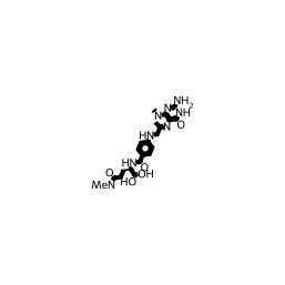 C=Nc1nc(N)[nH]c(=O)c1/N=C(\C)CNc1ccc(C(=O)N[C@H](CCC(=O)NC)C(O)O)cc1